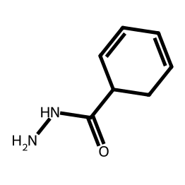 NNC(=O)C1C=CC=CC1